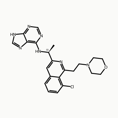 C[C@H](Nc1ncnc2[nH]cnc12)c1cc2cccc(Cl)c2c(CCN2CCOCC2)n1